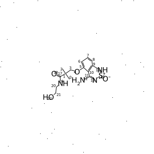 CC(C)(COc1cccc2c1C(N)=N[S+]([O-])N2)C(=O)NCCO